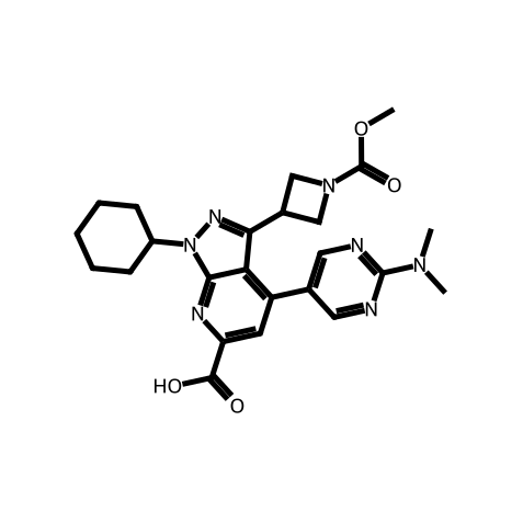 COC(=O)N1CC(c2nn(C3CCCCC3)c3nc(C(=O)O)cc(-c4cnc(N(C)C)nc4)c23)C1